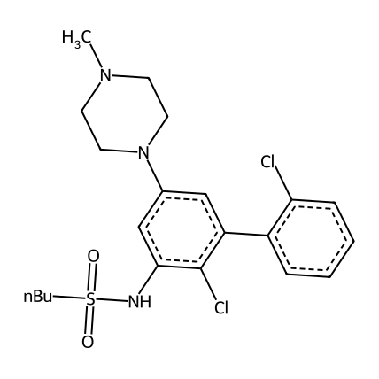 CCCCS(=O)(=O)Nc1cc(N2CCN(C)CC2)cc(-c2ccccc2Cl)c1Cl